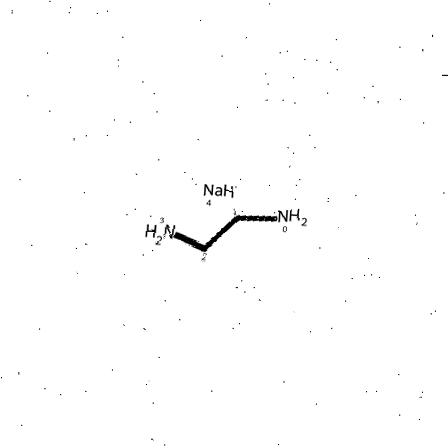 NCCN.[NaH]